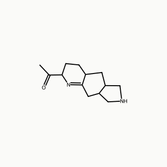 CC(=O)C1CCC2CC3CNCC3CC2=N1